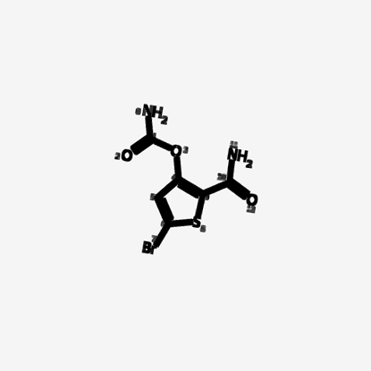 NC(=O)Oc1cc(Br)sc1C(N)=O